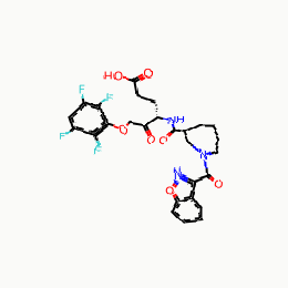 O=C(O)CC[C@H](NC(=O)C1CCCCN(C(=O)c2noc3ccccc23)C1)C(=O)COc1c(F)c(F)cc(F)c1F